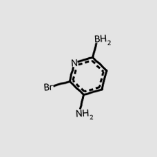 Bc1ccc(N)c(Br)n1